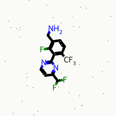 NCc1ccc(C(F)(F)F)c(-c2nccc(C(F)F)n2)c1F